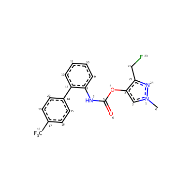 Cn1cc(OC(=O)Nc2ccccc2-c2ccc(C(F)(F)F)cc2)c(CF)n1